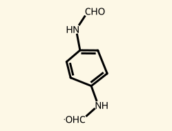 O=[C]Nc1ccc(NC=O)cc1